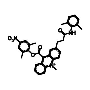 Cc1cccc(C)c1NC(=O)CCc1ccc2c(c1)c(C(=O)Oc1c(C)cc([N+](=O)[O-])cc1C)c1ccccc1[n+]2C